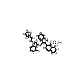 Cc1cccc2c1c(Cc1c(-c3ccc4ccccc4c3C(=O)O)nc3ccccn13)cn2CCn1cccn1